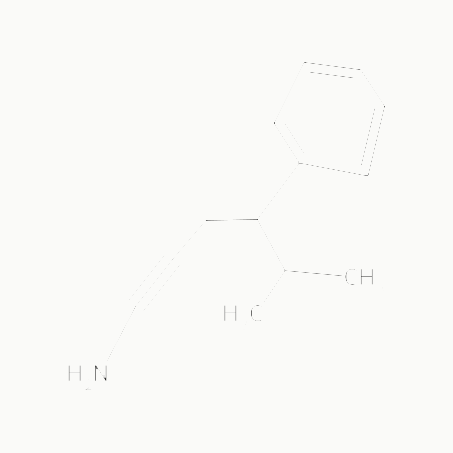 CC(C)C(CC#CN)c1ccccc1